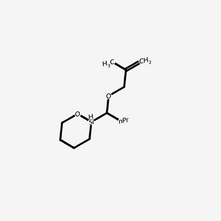 C=C(C)COC(CCC)[SiH]1CCCCO1